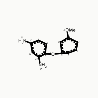 COc1cccc(Oc2ccc(N)cc2N)c1